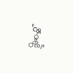 O=C(O)CC1(CC(=O)N2CCC(c3noc4cc(F)ccc34)CC2)CCCCC1